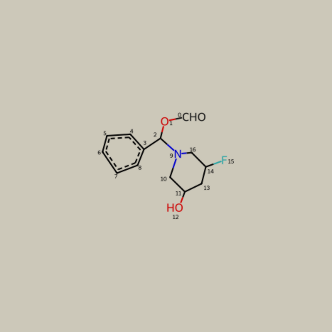 O=COC(c1ccccc1)N1CC(O)CC(F)C1